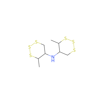 CC1SSSCC1NC1CSSSC1C